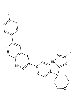 Cc1n[nH]c(C2(c3ccc(C(=O)Oc4cc(-c5ccc(F)cc5)ccc4N)cc3)CCOCC2)n1